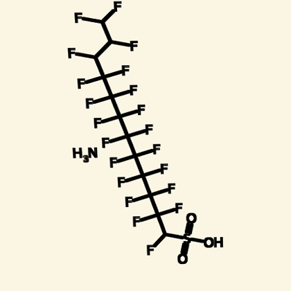 N.O=S(=O)(O)C(F)C(F)(F)C(F)(F)C(F)(F)C(F)(F)C(F)(F)C(F)(F)C(F)(F)C(F)(F)C(F)C(F)C(F)F